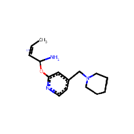 C/C=C\C(N)Oc1cc(CN2CCCCC2)ccn1